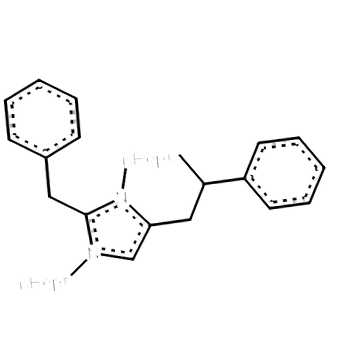 CCCCCCCn1cc(CC(C)c2ccccc2)[n+](CCCCCCC)c1Cc1ccccc1